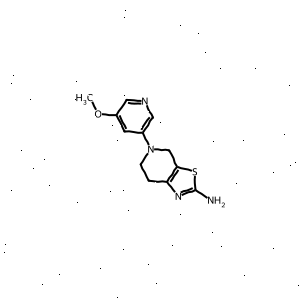 COc1cncc(N2CCc3nc(N)sc3C2)c1